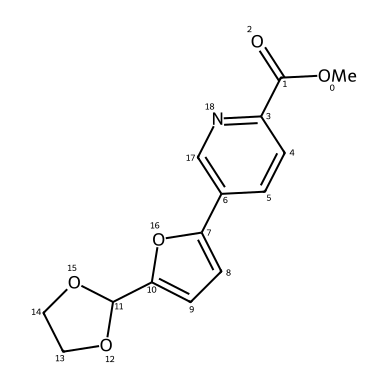 COC(=O)c1ccc(-c2ccc(C3OCCO3)o2)cn1